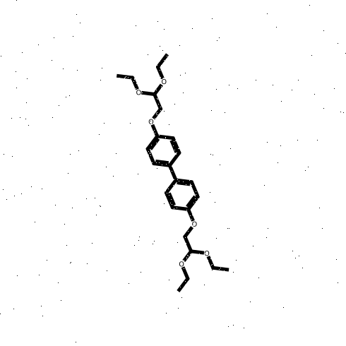 CCOC(COc1ccc(-c2ccc(OCC(OCC)OCC)cc2)cc1)OCC